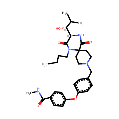 CCCCN1C(=O)[C@@H]([C@H](O)C(C)C)NC(=O)C12CCN(Cc1ccc(Oc3ccc(C(=O)NC)cc3)cc1)CC2